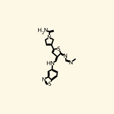 C=C(N)N1CC=C(C2=CC(=C\Nc3ccc4scnc4c3)/C(=N\C=N/C)S2)C1